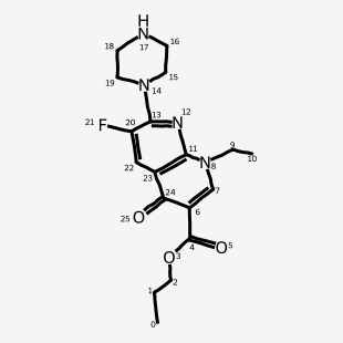 CCCOC(=O)c1cn(CC)c2nc(N3CCNCC3)c(F)cc2c1=O